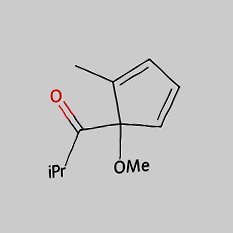 COC1(C(=O)C(C)C)C=CC=C1C